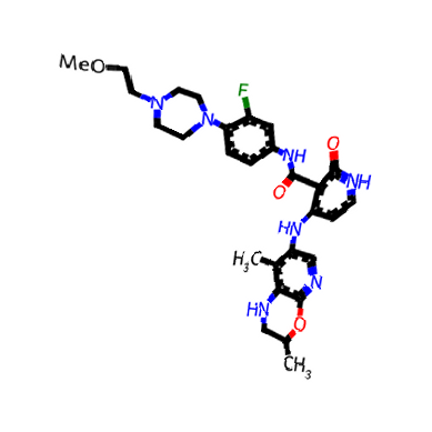 COCCN1CCN(c2ccc(NC(=O)c3c(Nc4cnc5c(c4C)NCC(C)O5)cc[nH]c3=O)cc2F)CC1